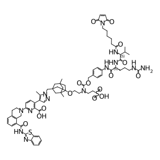 Cc1c(-c2ccc(N3CCc4cccc(C(=O)Nc5nc6ccccc6s5)c4C3)nc2C(=O)O)cnn1CC12CC3(C)CC(C)(C1)C(OCCN(CCS(=O)(=O)O)C(=O)OCc1ccc(NC(=O)[C@H](CCCNC(N)=O)NC(=O)[C@@H](NC(=O)CCCCCN4C(=O)C=CC4=O)C(C)C)cc1)(C3)C2